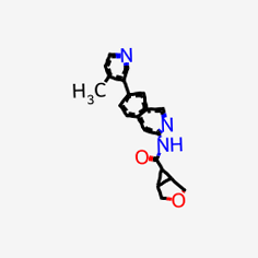 Cc1ccncc1-c1ccc2cc(NC(=O)C3C4COCC43)ncc2c1